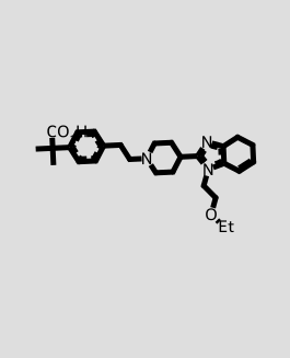 CCOCCn1c(C2CCN(CCc3ccc(C(C)(C)C(=O)O)cc3)CC2)nc2c1C=CCC2